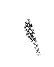 CCCCCCCCc1nc2c(ccc3c4ccc5sc(C)nc5c4ccc32)s1